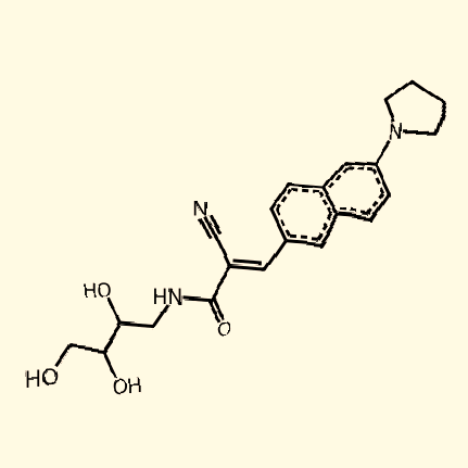 N#C/C(=C\c1ccc2cc(N3CCCC3)ccc2c1)C(=O)NCC(O)C(O)CO